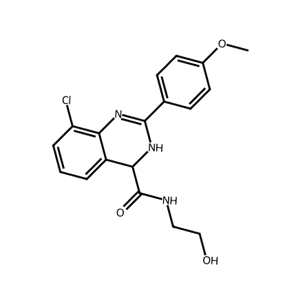 COc1ccc(C2=Nc3c(Cl)cccc3C(C(=O)NCCO)N2)cc1